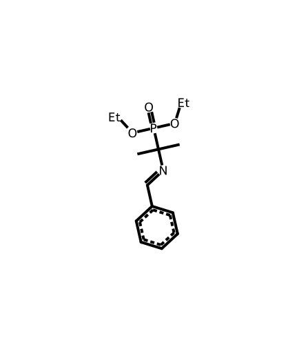 CCOP(=O)(OCC)C(C)(C)N=Cc1ccccc1